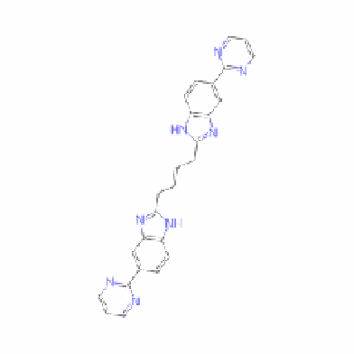 C(=CCc1nc2cc(-c3ncccn3)ccc2[nH]1)Cc1nc2cc(-c3ncccn3)ccc2[nH]1